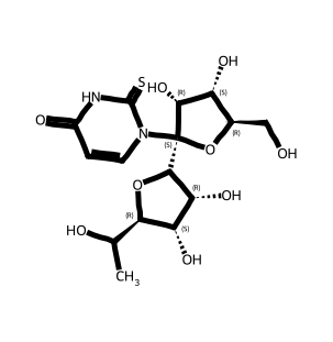 CC(O)[C@H]1OC([C@@]2(n3ccc(=O)[nH]c3=S)O[C@H](CO)[C@@H](O)[C@H]2O)[C@H](O)[C@@H]1O